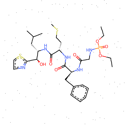 CCOP(=O)(NCC(=O)N[C@@H](Cc1ccccc1)C(=O)N[C@@H](CCSC)C(=O)N[C@@H](CC(C)C)[C@@H](O)c1nccs1)OCC